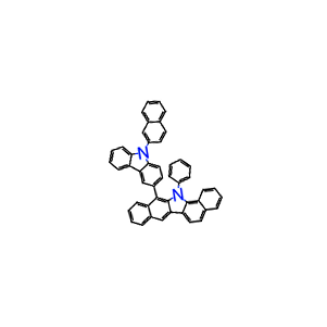 c1ccc(-n2c3c(-c4ccc5c(c4)c4ccccc4n5-c4ccc5ccccc5c4)c4ccccc4cc3c3ccc4ccccc4c32)cc1